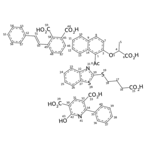 CC(=O)c1c(OC(C)C(=O)O)ccc2ccccc12.O=C(O)CCCSc1nc2ccccc2s1.O=C(O)c1cc(C(=O)O)c(-c2ccccc2)nc1O.O=C(O)c1cccc(C=Cc2ccccc2)c1C(=O)O